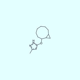 Cc1cc(OC2CCCCCCC3CC32)[nH]n1